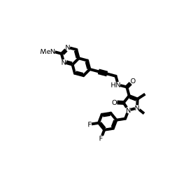 CNc1ncc2cc(C#CCNC(=O)c3c(C)n(C)n(Cc4ccc(F)c(F)c4)c3=O)ccc2n1